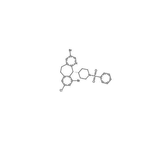 O=S(=O)(c1ccccc1)N1CCC([C@H]2c3ncc(Br)cc3CCc3cc(Cl)cc(Br)c32)CC1